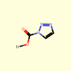 CCOC(=O)n1c[c]nn1